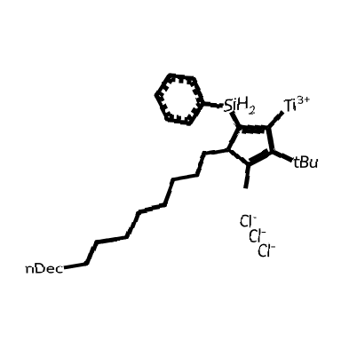 CCCCCCCCCCCCCCCCCCC1C(C)=C(C(C)(C)C)[C]([Ti+3])=C1[SiH2]c1ccccc1.[Cl-].[Cl-].[Cl-]